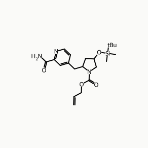 C=CCOC(=O)N1CC(O[Si](C)(C)C(C)(C)C)CC1Cc1ccnc(C(N)=O)c1